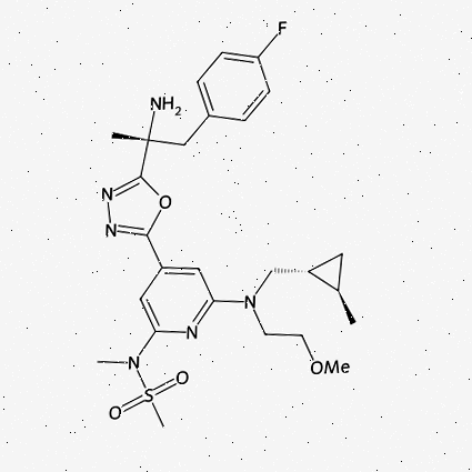 COCCN(C[C@@H]1C[C@H]1C)c1cc(-c2nnc([C@](C)(N)Cc3ccc(F)cc3)o2)cc(N(C)S(C)(=O)=O)n1